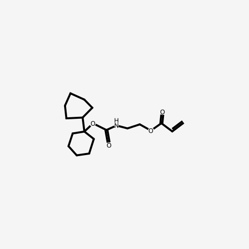 C=CC(=O)OCCNC(=O)OC1(C2CCCCC2)CCCCC1